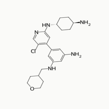 Nc1cc(NCC2CCOCC2)cc(-c2cc(N[C@H]3CC[C@H](N)CC3)ncc2Cl)c1